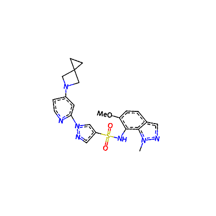 COc1ccc2cnn(C)c2c1NS(=O)(=O)c1cnn(-c2cc(N3CC4(CC4)C3)ccn2)c1